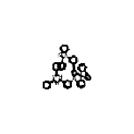 c1ccc(-c2nc(-c3ccccc3)nc(-c3cccc(N4c5ccccc5C5(c6ccccc6-c6ccccc65)c5cc(-c6cccc(-n7c(-c8ccccc8)nc8ccccc87)c6)ccc54)c3)n2)cc1